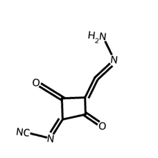 N#CN=C1C(=O)C(=C=NN)C1=O